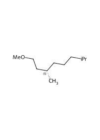 COCC[C@@H](C)CCCC(C)C